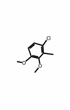 COc1ccc(Cl)c(C)c1OC